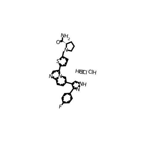 Cl.Cl.Cl.NC(=O)[C@@H]1CCCN1Cc1ccc(-c2cnc3ccc(-c4c[nH]nc4-c4ccc(F)cc4)cn23)s1